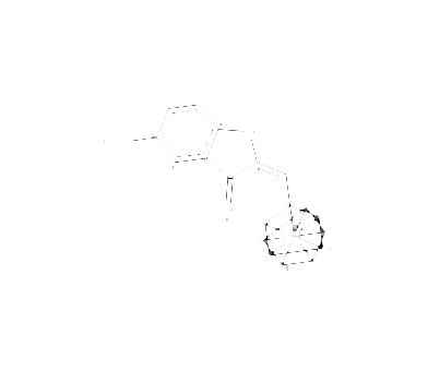 O=C(O)c1ccc2c(c1)C(=O)C(=C[C]13[CH]4[CH]5[CH]6[CH]1[Fe]56431789[CH]3[CH]1[CH]7[CH]8[CH]39)O2